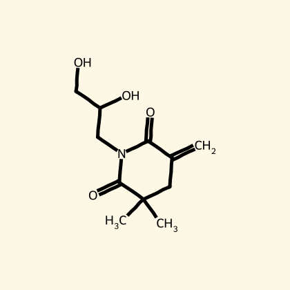 C=C1CC(C)(C)C(=O)N(CC(O)CO)C1=O